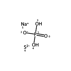 O=P([O-])(O)O.[Na+].[S-2]